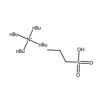 CCCC[N+](CCCC)(CCCC)CCCC.CCCS(=O)(=O)O